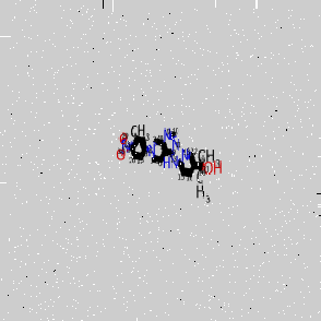 Cc1cc(N2CCc3c(ncnc3Nc3ccc(C(C)(C)O)cn3)C2)ccc1[N+](=O)[O-]